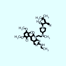 CCNc1ncc2cc(-c3c(Cl)c(OC)cc(OC)c3Cl)c(=O)n(CCN(C)C3CCN(C(=O)/C(C#N)=C\C(C)(C)C)CC3)c2n1